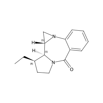 CC[C@@H]1CCN2C(=O)c3ccccc3N3C[C@H]3[C@H]12